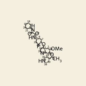 COc1cc2c(Oc3ccc(NC(=O)C(=O)Nc4ccccc4)cc3F)ccnc2cc1OC(C)C1CCNCC1